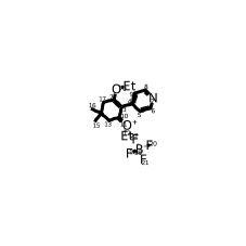 CCOC1=C(c2ccncc2)C(=[O+]CC)CC(C)(C)C1.F[B-](F)(F)F